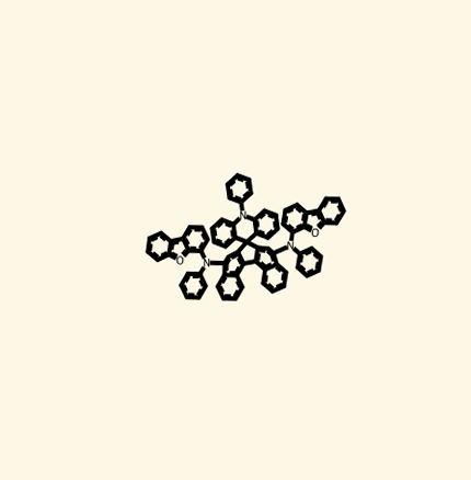 c1ccc(N2c3ccccc3C3(c4ccccc42)c2cc(N(c4ccccc4)c4cccc5c4oc4ccccc45)c4ccccc4c2-c2c3cc(N(c3ccccc3)c3cccc4c3oc3ccccc34)c3ccccc23)cc1